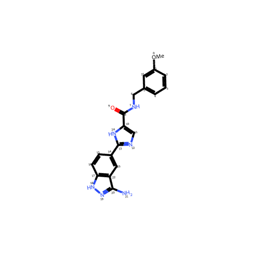 COc1cccc(CNC(=O)c2cnc(-c3ccc4[nH]nc(N)c4c3)[nH]2)c1